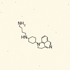 NCCCCNC1CCC(N2CCc3cncc4cccc2c34)CC1